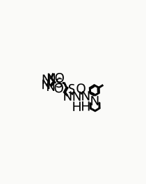 Cc1ccc(NC(=O)Nc2ncc(CS(=O)(=O)c3nnnn3C)s2)c(N2CCCCC2)c1